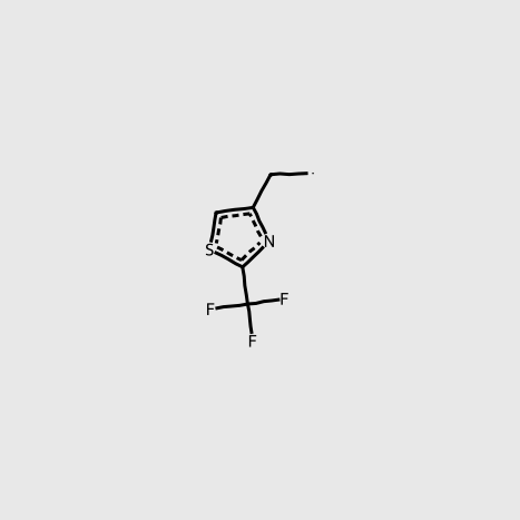 [CH2]Cc1csc(C(F)(F)F)n1